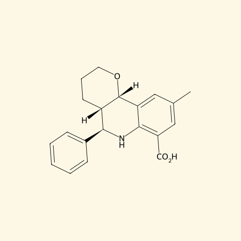 Cc1cc(C(=O)O)c2c(c1)[C@H]1OCCC[C@H]1[C@H](c1ccccc1)N2